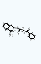 NC(=O)c1ccccc1C[CH]CC(=O)NOC(=O)c1ccccc1